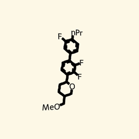 CCCc1ccc(-c2ccc(C3CCC(COC)CO3)c(F)c2F)cc1F